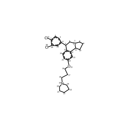 Clc1ccc(C2CN3CCCC3c3cc(OCCCN4CCCCC4)ccc32)cc1Cl